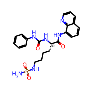 NS(=O)(=O)NCCCC[C@H](NC(=O)Nc1ccccc1)C(=O)Nc1cccc2cccnc12